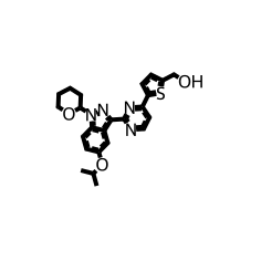 CC(C)Oc1ccc2c(c1)c(-c1nccc(-c3ccc(CO)s3)n1)nn2C1CCCCO1